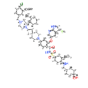 COc1cc(CN2CCN(C3CC4(CCN(c5ccc(C(=O)NS(=O)(=O)c6ccc(NCC7CCC(C)(O)CC7)c([N+](=O)[O-])c6)c(Oc6cnc7[nH]cc(F)c7c6)c5)CC4)C3)[C@H](c3ccccc3C(C)C)C2)ccc1Cl